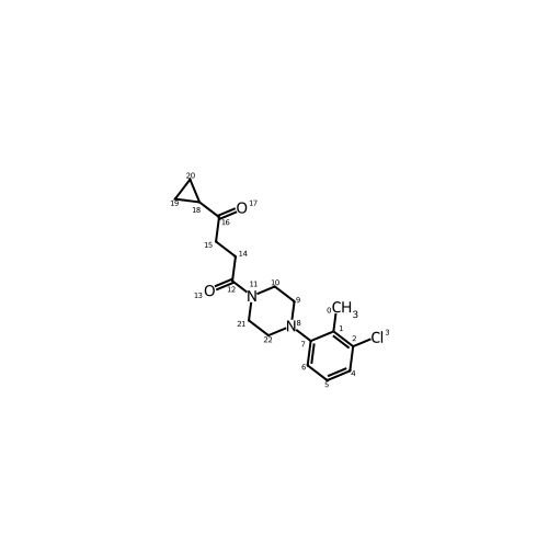 Cc1c(Cl)cccc1N1CCN(C(=O)CCC(=O)C2CC2)CC1